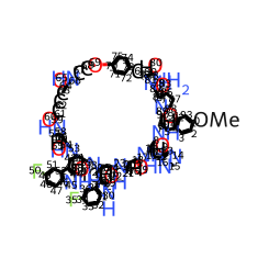 COc1ccc(C[C@@H]2NC(=O)[C@H](Cc3cnc[nH]3)NC(=O)[C@H](CC(=O)O)NC(=O)[C@H](Cc3c[nH]c4ccc(F)cc34)NC(=O)[C@H](Cc3c[nH]c4ccc(F)cc34)NC(=O)[C@@H](C)NC(=O)CCCC(=O)NCCOc3ccc(cc3)C[C@@H](C(N)=O)NC(=O)[C@]3(C)CCCN3C2=O)cc1